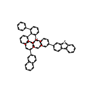 c1ccc(-c2ccccc2-c2c(-c3ccccc3)cccc2N(c2ccc(-c3ccc4c(c3)sc3ccccc34)cc2)c2cccc(-c3ccc4ccccc4c3)c2)cc1